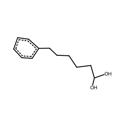 OC(O)CCCCCc1ccccc1